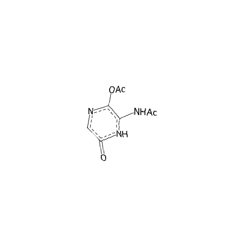 CC(=O)Nc1[nH]c(=O)cnc1OC(C)=O